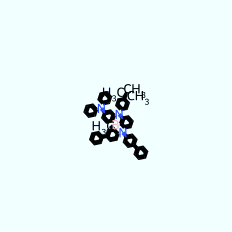 CC(C)(C)C1C=CC(N2c3cc(N(c4ccccc4)c4ccccc4)ccc3B3c4c2cccc4N(c2ccc(-c4ccccc4)cc2)C2C=CC(c4ccccc4)=CC32C)=CC1